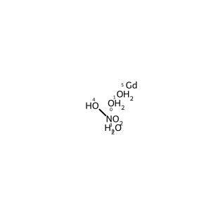 O.O.O.O=[N+]([O-])O.[Gd]